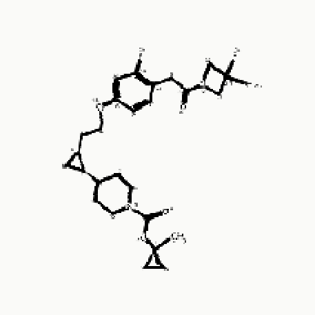 CC1(OC(=O)N2CCC([C@H]3C[C@H]3CCOc3ccc(CC(=O)N4CC(F)(F)C4)c(F)c3)CC2)CC1